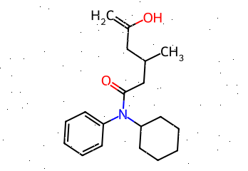 C=C(O)CC(C)CC(=O)N(c1ccccc1)C1CCCCC1